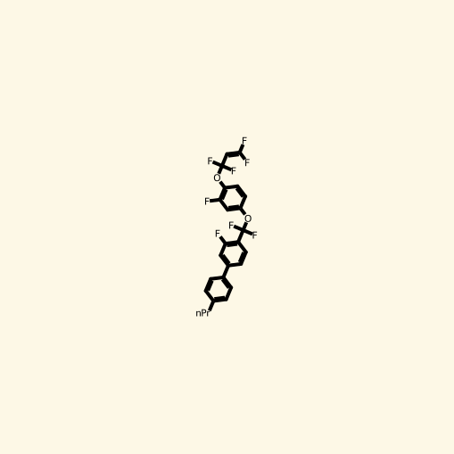 CCCc1ccc(-c2ccc(C(F)(F)Oc3ccc(OC(F)(F)C=C(F)F)c(F)c3)c(F)c2)cc1